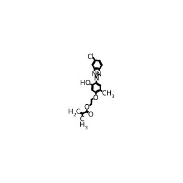 C=C(C)C(=O)OCCOc1cc(O)c(-n2n3c4ccc(Cl)cc4n23)cc1C